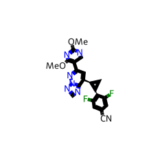 COc1ncc(-c2cc([C@H]3C[C@@H]3c3c(F)cc(C#N)cc3F)c3ncnn3n2)c(OC)n1